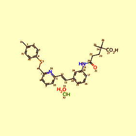 Cc1ccc(SCc2cccc(C=Cc3cccc(NC(=O)CCC(C)(C)C(=O)O)c3)n2)cc1.Cl.O